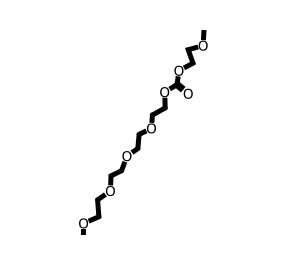 COCCOCCOCCOCCOC(=O)OCCOC